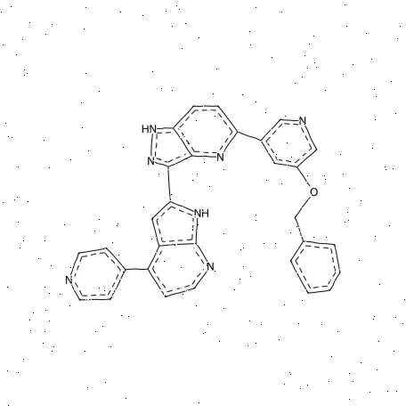 c1ccc(COc2cncc(-c3ccc4[nH]nc(-c5cc6c(-c7ccncc7)ccnc6[nH]5)c4n3)c2)cc1